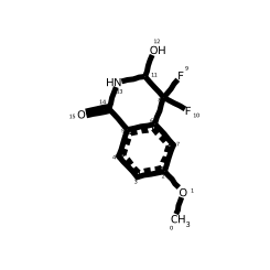 COc1ccc2c(c1)C(F)(F)C(O)NC2=O